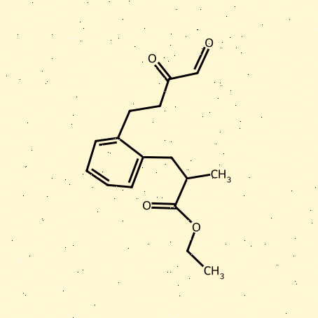 CCOC(=O)C(C)Cc1ccccc1CCC(=O)C=O